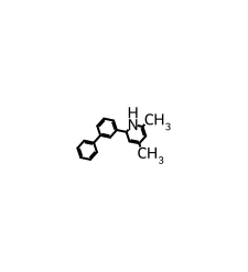 CC1=CC(c2cccc(-c3ccccc3)c2)NC(C)=C1